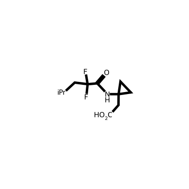 CC(C)CC(F)(F)C(=O)NC1(CC(=O)O)CC1